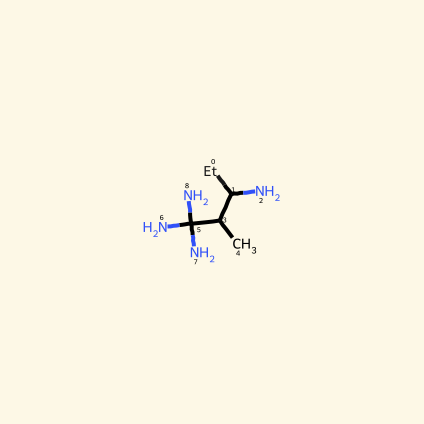 CCC(N)C(C)C(N)(N)N